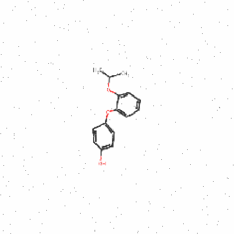 CC(C)Oc1ccccc1Oc1ccc(O)cc1